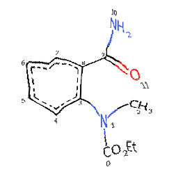 CCOC(=O)N(C)c1ccccc1C(N)=O